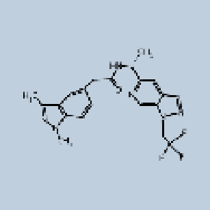 Cc1nn(C)c2ccc(CC(=O)N[C@H](C)c3cc4cnn(CC(F)(F)F)c4cn3)cc12